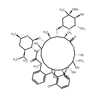 CC[C@H]1OC(=O)[C@H](C)[C@@H](O[C@H]2C[C@@](C)(OC)[C@@H](O)[C@H](C)O2)[C@H](C)[C@@H](O[C@@H]2O[C@H](C)C[C@H](N(C)C)[C@H]2OC(=O)Cc2ccccc2Nc2c(Cl)cccc2Cl)[C@](C)(O)C[C@@H](C)CN(C)[C@H](C)[C@@H](O)[C@]1(C)O